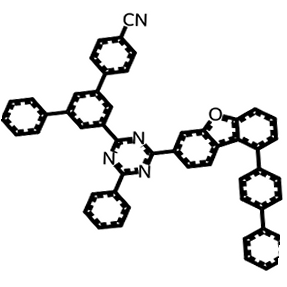 N#Cc1ccc(-c2cc(-c3ccccc3)cc(-c3nc(-c4ccccc4)nc(-c4ccc5c(c4)oc4cccc(-c6ccc(-c7ccccc7)cc6)c45)n3)c2)cc1